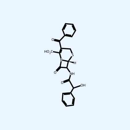 O=C(O)C1=C(C(=O)c2ccccc2)CS[C@@H]2C(NC(=O)C(O)c3ccccc3)C(=O)N12